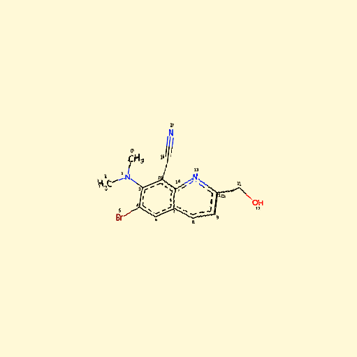 CN(C)c1c(Br)cc2ccc(CO)nc2c1C#N